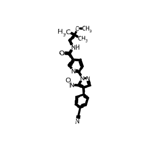 COC(C)(C)CNC(=O)c1ccc(-n2ncc(-c3ccc(C#N)cc3)c2N=O)nc1